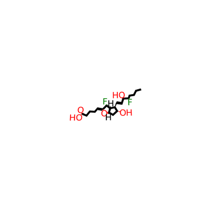 CCCCC(F)[C@H](O)/C=C/[C@@H]1[C@H]2C(F)/C(=C/CCCC(=O)O)O[C@H]2C[C@H]1O